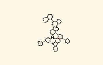 c1ccc(-c2ccc(-c3c(N(c4ccc(-c5ccccc5)cc4)c4cccc5c4sc4ccccc45)ccc4c3oc3c5ccccc5c(-c5cccc6ccccc56)cc43)cc2)cc1